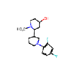 O=C(O)N1CCC(O)CC1C1CCCN(c2ccc(F)cc2F)C1